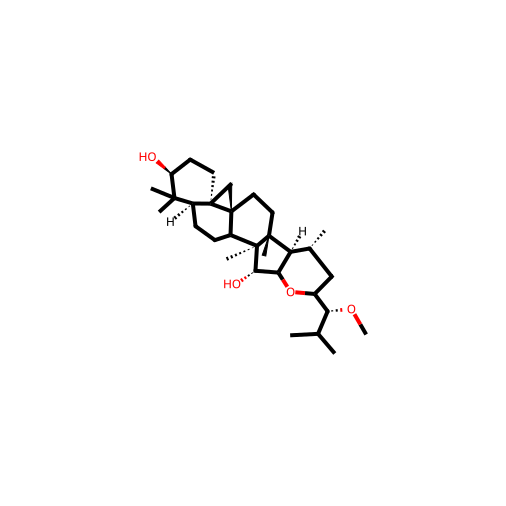 CO[C@H](C(C)C)C1C[C@@H](C)[C@H]2C(O1)[C@H](O)[C@@]1(C)C3CC[C@H]4C(C)(C)[C@@H](O)CC[C@@]45C[C@@]35CC[C@]21C